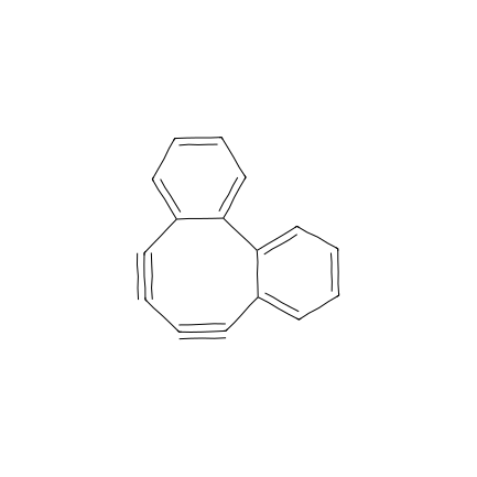 C1#Cc2ccccc2-c2ccccc2C#C1